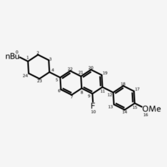 CCCCC1CCC(c2ccc3c(F)c(-c4ccc(OC)cc4)ccc3c2)CC1